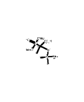 COP(=O)(OC)C(C)(O[Si](C)(C)C(C)(C)C)C(=O)O